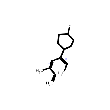 C=C/C(C)=C\C(=C/C)C1CCC(F)CC1